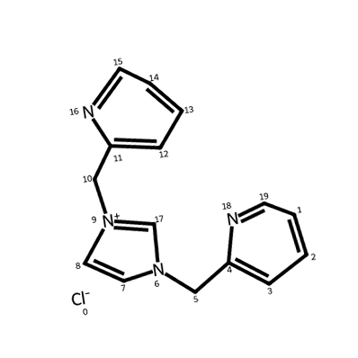 [Cl-].c1ccc(Cn2cc[n+](Cc3ccccn3)c2)nc1